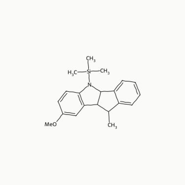 COc1ccc2c(c1)C1C(C)c3ccccc3C1N2[Si](C)(C)C